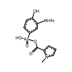 CC(=O)Nc1cc([As](=O)(O)OC(=O)c2cccn2C)ccc1O